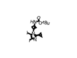 CC(C)(C)OC(=O)NC12CC(n3c(C4CC4)nc(I)c3I)(C1)C2